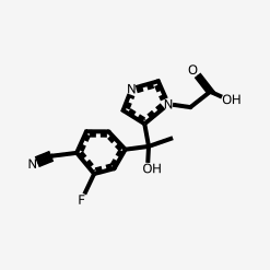 CC(O)(c1ccc(C#N)c(F)c1)c1cncn1CC(=O)O